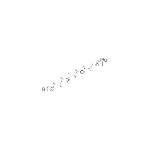 CC(C)(C)NCCCOCCCOCCCOC(C)(C)C